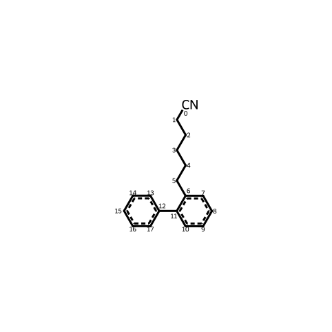 N#CCCCCCc1ccccc1-c1ccccc1